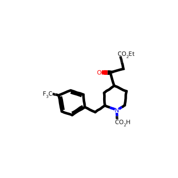 CCOC(=O)CC(=O)C1CCN(C(=O)O)C(Cc2ccc(C(F)(F)F)cc2)C1